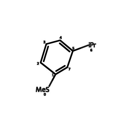 CSc1cccc(C(C)C)c1